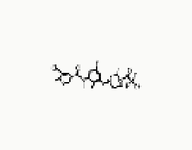 CCC(F)(F)C(=O)N1CCN(Cc2cc(F)cc(NC(=O)C3C=C(Cl)C(C)=NC3)c2C)C[C@@H]1C